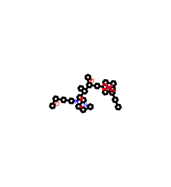 c1ccc(-c2ccc(-c3ccc(N(c4ccc(-c5ccc(-c6cc(-c7ccc(-c8ccc(N(c9ccc(-c%10ccc(-c%11cccc%12c%11oc%11ccccc%11%12)cc%10)cc9)c9ccccc9-c9ccccc9-n9c%10ccccc%10c%10ccccc%109)cc8)c8ccccc78)cc7c6oc6ccccc67)cc5)cc4)c4ccccc4-c4ccccc4-n4c5ccccc5c5ccccc54)cc3)cc2)cc1